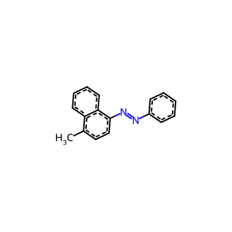 Cc1ccc(N=Nc2ccccc2)c2ccccc12